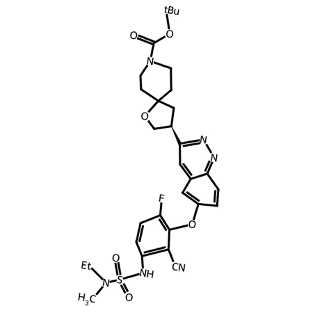 CCN(C)S(=O)(=O)Nc1ccc(F)c(Oc2ccc3nnc([C@H]4COC5(CCN(C(=O)OC(C)(C)C)CC5)C4)cc3c2)c1C#N